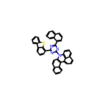 c1ccc2c(-c3nc(-c4cccc5c4sc4ccccc45)nc(N4c5ccc6ccccc6c5-c5cccc6cccc4c56)n3)cccc2c1